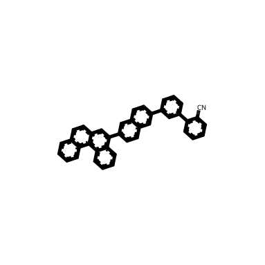 N#Cc1ccccc1-c1cccc(-c2ccc3cc(-c4cc5ccc6ccccc6c5c5ccccc45)ccc3c2)c1